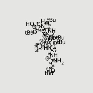 C[C@@H](OC(C)(C)C)[C@H](NC(=O)CNC(=O)[C@@H](N)CCC(=O)OC(C)(C)C)C(=O)N[C@@H](Cc1ccccc1)C(=O)N[C@H](C(=O)N[C@@H](COC(C)(C)C)C(=O)N[C@@H](CC(=O)OC(C)(C)C)C(=O)O)[C@@H](C)OC(C)(C)C